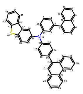 c1cc(-c2cccc3ccccc23)cc(N(c2ccc(-c3cc4ccccc4c4ccccc34)cc2)c2ccc3sc4ccccc4c3c2)c1